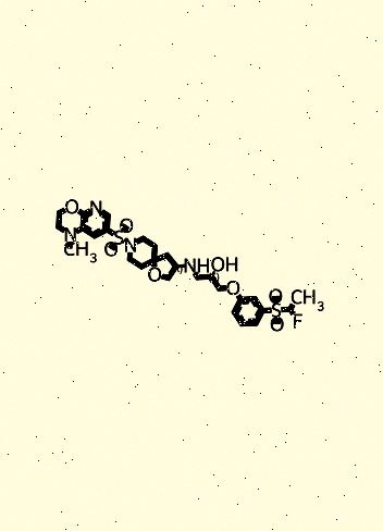 CC(F)S(=O)(=O)c1cccc(OC[C@@H](O)CN[C@H]2COC3(CCN(S(=O)(=O)c4cnc5c(c4)N(C)CCO5)CC3)C2)c1